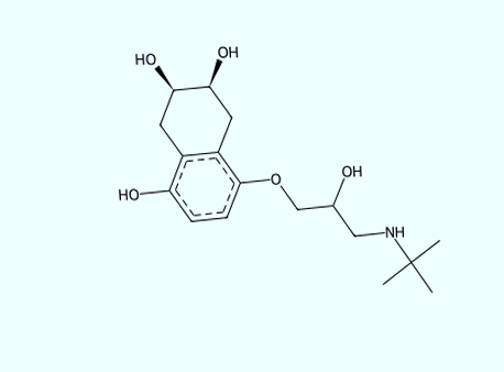 CC(C)(C)NCC(O)COc1ccc(O)c2c1C[C@H](O)[C@H](O)C2